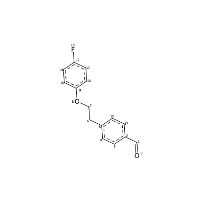 O=Cc1ccc(CCOc2ccc(F)cc2)cc1